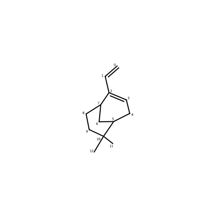 C=CC1=CCC2CC1CCC2(C)C